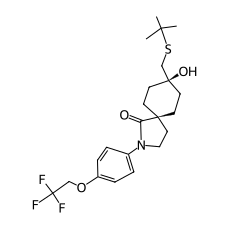 CC(C)(C)SC[C@]1(O)CC[C@]2(CCN(c3ccc(OCC(F)(F)F)cc3)C2=O)CC1